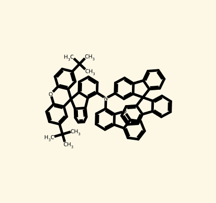 CC(C)(C)c1ccc2c(c1)C1(c3cc(C(C)(C)C)ccc3O2)c2ccccc2-c2c(N(c3ccc4c(c3)C3(c5ccccc5-c5ccccc53)c3ccccc3-4)c3cccc4c3oc3ccccc34)cccc21